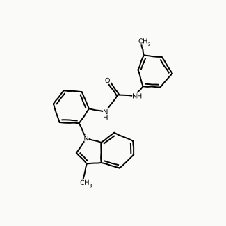 Cc1cccc(NC(=O)Nc2ccccc2-n2cc(C)c3ccccc32)c1